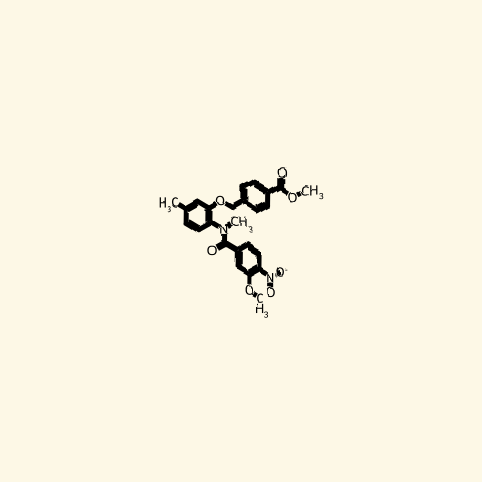 COC(=O)c1ccc(COc2cc(C)ccc2N(C)C(=O)c2ccc([N+](=O)[O-])c(OC)c2)cc1